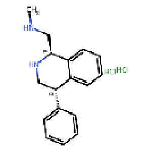 CNC[C@@H]1NC[C@@H](c2ccccc2)c2ccccc21.Cl.Cl